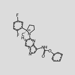 C[C@]1(c2cc(F)ccc2F)CCCN1c1ccn2ncc(NC(=O)Oc3ccccc3)c2n1